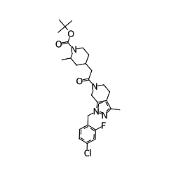 Cc1nn(Cc2ccc(Cl)cc2F)c2c1CCN(C(=O)CC1CCN(C(=O)OC(C)(C)C)C(C)C1)C2